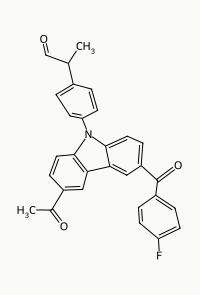 CC(=O)c1ccc2c(c1)c1cc(C(=O)c3ccc(F)cc3)ccc1n2-c1ccc(C(C)C=O)cc1